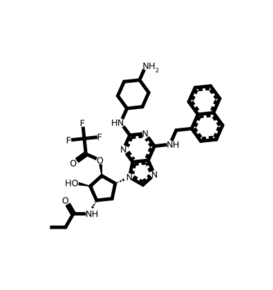 CCC(=O)N[C@H]1C[C@@H](n2cnc3c(NCc4cccc5ccccc45)nc(NC4CCC(N)CC4)nc32)[C@H](OC(=O)C(F)(F)F)[C@@H]1O